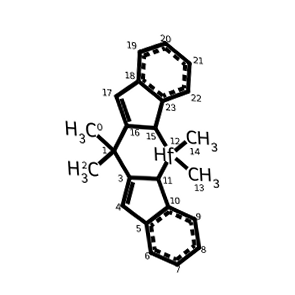 CC1(C)C2=Cc3ccccc3[CH]2[Hf]([CH3])([CH3])[CH]2C1=Cc1ccccc12